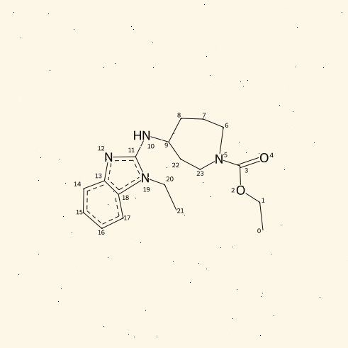 CCOC(=O)N1CCCC(Nc2nc3ccccc3n2CC)CC1